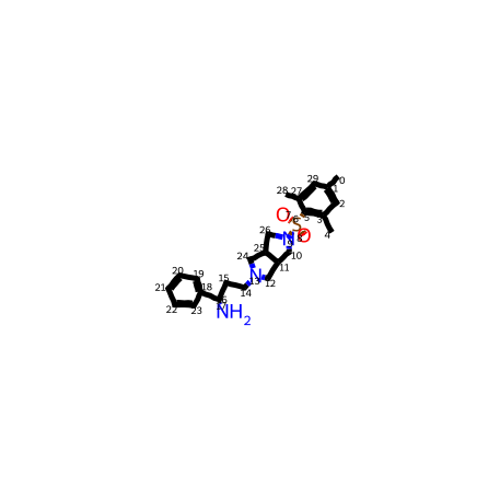 Cc1cc(C)c(S(=O)(=O)N2CC3CN(CC[C@H](N)c4ccccc4)CC3C2)c(C)c1